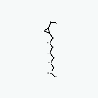 CCC1OC1COCOCOCOC